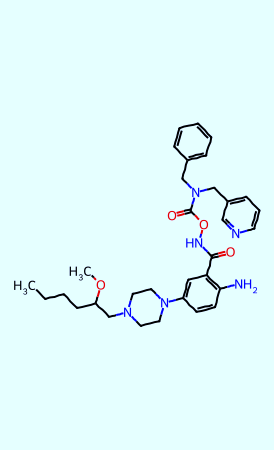 CCCCC(CN1CCN(c2ccc(N)c(C(=O)NOC(=O)N(Cc3ccccc3)Cc3cccnc3)c2)CC1)OC